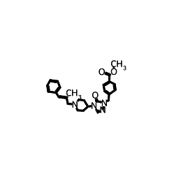 COC(=O)c1ccc(Cn2ncn(C3CCN(C/C(C)=C/c4ccccc4)CC3)c2=O)cc1